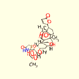 C[C@@H]1CC2(NC(=O)CS2)[C@]2(O)O[C@@H]3C[C@@]4(CO)[C@@H](CC[C@]5(C)[C@@H]4CC[C@]4(C)[C@@H](C6C=CC(=O)O6)CC[C@@]45O)C[C@H]3O[C@@H]2O1